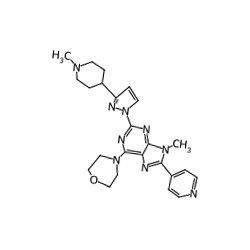 CN1CCC(c2ccn(-c3nc(N4CCOCC4)c4nc(-c5ccncc5)n(C)c4n3)n2)CC1